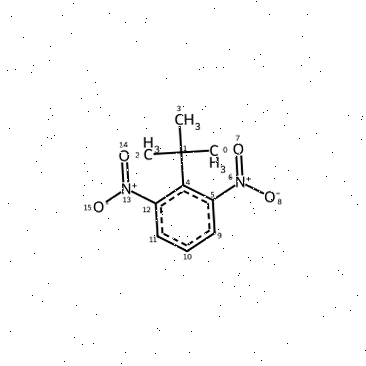 CC(C)(C)c1c([N+](=O)[O-])cccc1[N+](=O)[O-]